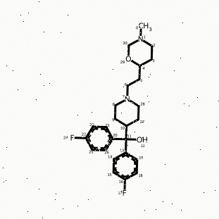 CN1CCC(CCN2CCC(C(O)(c3ccc(F)cc3)c3ccc(F)cc3)CC2)OC1